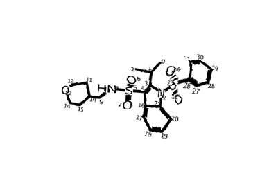 CC(C)c1c(S(=O)(=O)NCC2CCOCC2)c2ccccc2n1S(=O)(=O)c1ccccc1